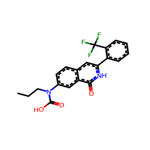 CCCN(C(=O)O)c1ccc2cc(-c3ccccc3C(F)(F)F)[nH]c(=O)c2c1